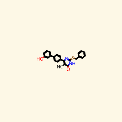 N#Cc1c(-c2ccc(-c3cccc(O)c3)cc2)nc(SCc2ccccc2)[nH]c1=O